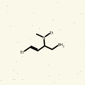 BCC(C=CCC)N(C)CC